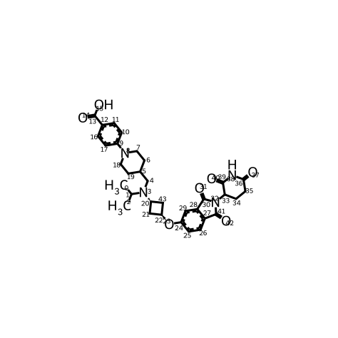 CC(C)N(CC1CCN(c2ccc(C(=O)O)cc2)CC1)[C@H]1C[C@H](Oc2ccc3c(c2)C(=O)N(C2CCC(=O)NC2=O)C3=O)C1